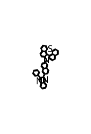 c1ccc(-c2nc3ccccc3nc2-c2ccc3cc(-n4c5ccc6cccc7sc8cccc9ccc4c(c98)c5c67)ccc3c2)cc1